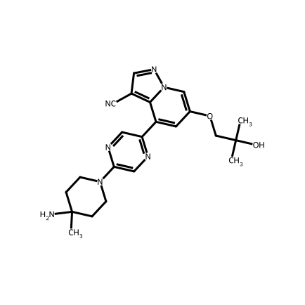 CC(C)(O)COc1cc(-c2cnc(N3CCC(C)(N)CC3)cn2)c2c(C#N)cnn2c1